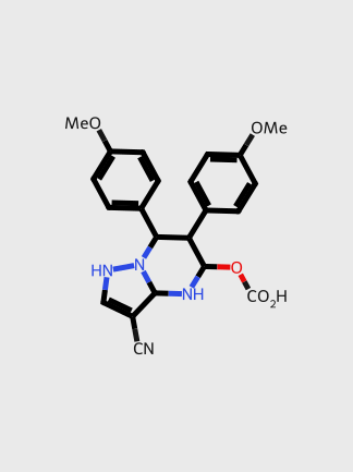 COc1ccc(C2C(OC(=O)O)NC3C(C#N)=CNN3C2c2ccc(OC)cc2)cc1